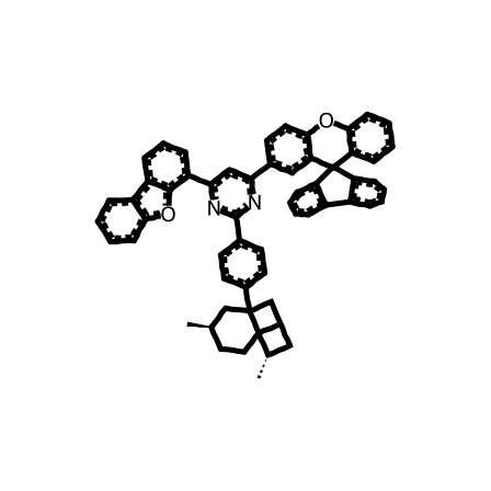 C[C@@H]1CCC23C(C[C@@H]2C)CC3(c2ccc(-c3nc(-c4ccc5c(c4)C4(c6ccccc6O5)c5ccccc5-c5ccccc54)cc(-c4cccc5c4oc4ccccc45)n3)cc2)C1